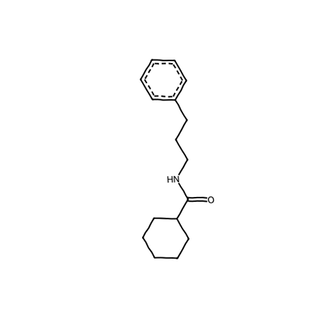 O=C(NCCCc1ccccc1)C1CCCCC1